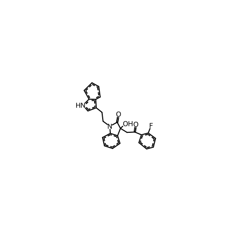 O=C(CC1(O)C(=O)N(CCc2c[nH]c3ccccc23)c2ccccc21)c1ccccc1F